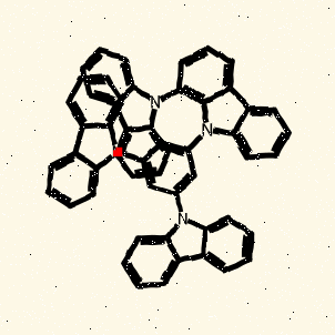 c1ccc2c(c1)c1ccccc1n2-c1cc(-n2c3ccccc3c3ccccc32)cc(-n2c3ccccc3c3cccc(-n4c5ccccc5c5ccccc54)c32)c1